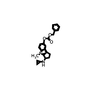 Cn1c2c(c3cc(OC(=O)OCc4ccccc4)ccc31)CCC2NC1CC1